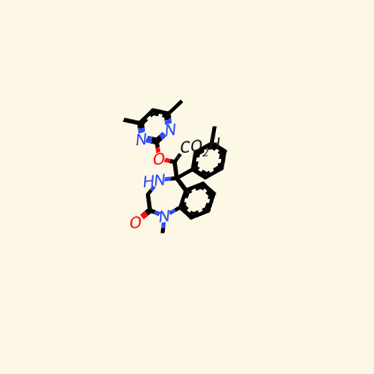 Cc1cccc(C2(C(Oc3nc(C)cc(C)n3)C(=O)O)NCC(=O)N(C)c3ccccc32)c1